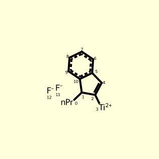 CCCC1[C]([Ti+2])=Cc2ccccc21.[F-].[F-]